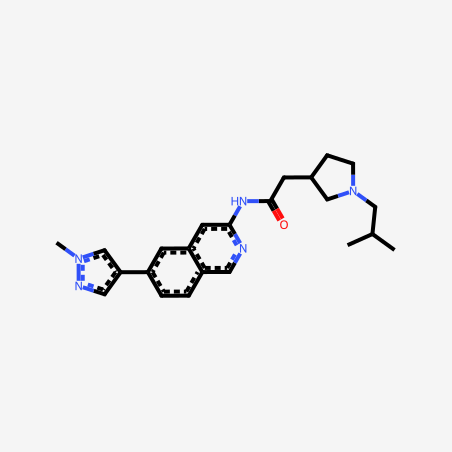 CC(C)CN1CCC(CC(=O)Nc2cc3cc(-c4cnn(C)c4)ccc3cn2)C1